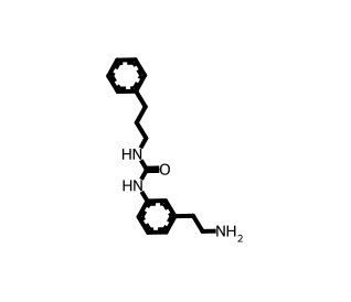 NCCc1cccc(NC(=O)NCCCc2ccccc2)c1